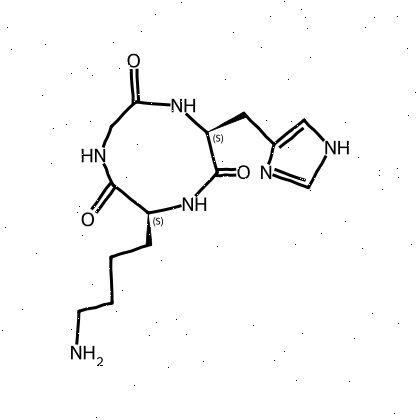 NCCCC[C@@H]1NC(=O)[C@H](Cc2c[nH]cn2)NC(=O)CNC1=O